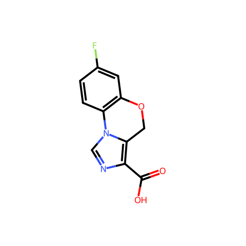 O=C(O)c1ncn2c1COc1cc(F)ccc1-2